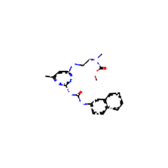 Cc1cc(NCCN(C)C(=O)OC(C)(C)C)nc(NC(=O)Nc2ccc3ccccc3c2)n1